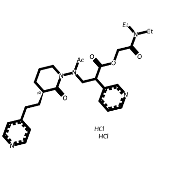 CCN(CC)C(=O)COC(=O)C(CN(C(C)=O)N1CCC[C@H](CCc2ccncc2)C1=O)c1cccnc1.Cl.Cl